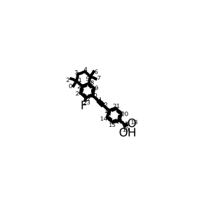 CC1(C)CCC(C)(C)c2cc(C#Cc3ccc(C(=O)O)cc3)c(F)cc21